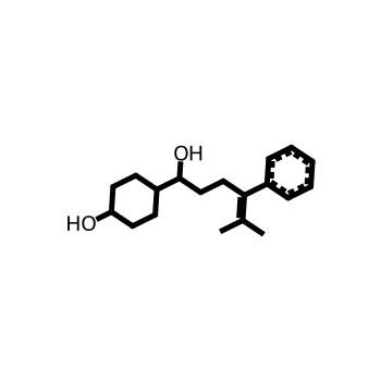 CC(C)=C(CCC(O)C1CCC(O)CC1)c1ccccc1